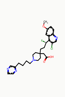 COc1ccc2ncc(Cl)c([C@H](F)CCC3(CC(=O)O)CCN(CCCCc4cnccn4)CC3)c2c1